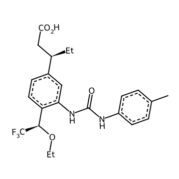 CCO[C@H](c1ccc([C@H](CC)CC(=O)O)cc1NC(=O)Nc1ccc(C)cc1)C(F)(F)F